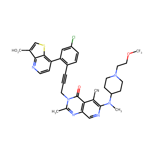 Cc1nc2cnc(N(C)C3CCN(CCOC(F)(F)F)CC3)c(C#N)c2c(=O)n1CC#Cc1ccc(Cl)cc1-c1ccnc2c(C(=O)O)csc12